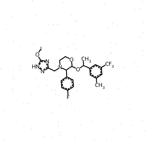 Cc1cc(C(C)OC2OCCN(Cc3n[nH]c(OI)n3)C2c2ccc(F)cc2)cc(C(F)(F)F)c1